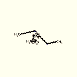 CCCCCCCC/C=C\CCCCCCCC(=O)O[C@H](CO/C=C\CCCCCCCCCCCC)COP(=O)([O-])OCC[N+](C)(C)C